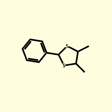 CC1SC(c2ccccc2)SC1C